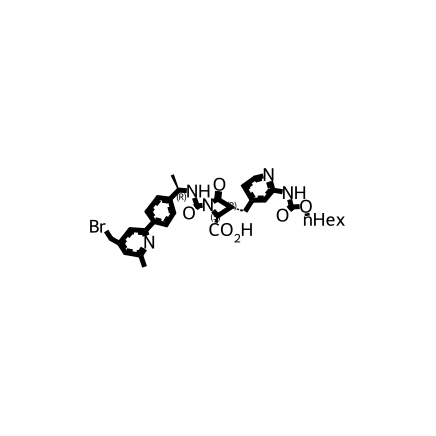 CCCCCCOC(=O)Nc1cc(C[C@H]2C(=O)N(C(=O)N[C@H](C)c3ccc(-c4cc(CBr)cc(C)n4)cc3)[C@@H]2C(=O)O)ccn1